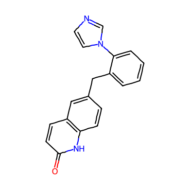 O=c1ccc2cc(Cc3ccccc3-n3ccnc3)ccc2[nH]1